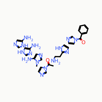 CC(=O)n1ccnc1.Cn1cncc1N.NCCc1ncc[nH]1.Nc1c[nH]cn1.Nc1cnc[nH]1.O=C(c1ccccc1)n1ccnc1